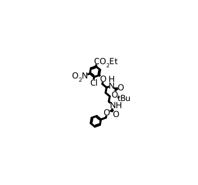 CCOC(=O)c1cc(OCC(CCCNC(=O)OCc2ccccc2)NC(=O)OC(C)(C)C)c(Cl)c([N+](=O)[O-])c1